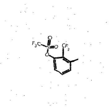 Cc1cccc(OS(=O)(=O)C(F)(F)F)c1C(F)(F)F